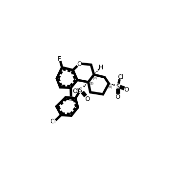 O=S(=O)(Cl)[C@@H]1CC[C@@]2(S(=O)(=O)c3ccc(Cl)cc3)c3c(F)ccc(F)c3OC[C@H]2C1